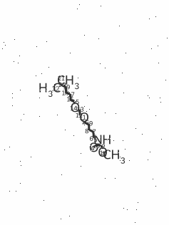 COCC(=O)NCCCCCOCCOCCCCCC(C)C